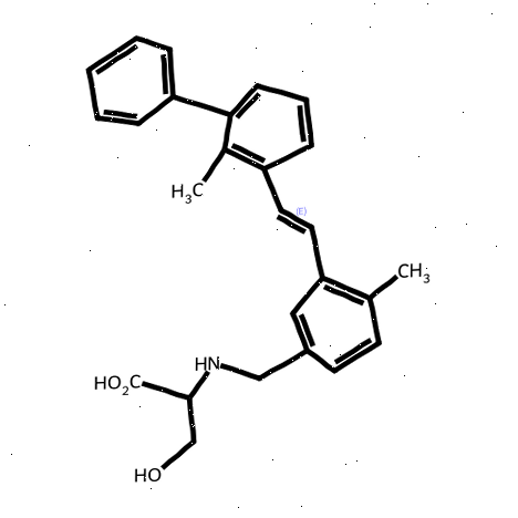 Cc1ccc(CNC(CO)C(=O)O)cc1/C=C/c1cccc(-c2ccccc2)c1C